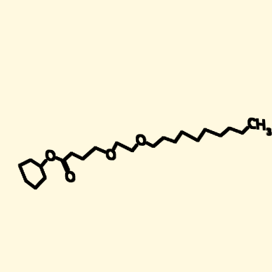 CCCCCCCCCCOCCOCCCC(=O)OC1CCCCC1